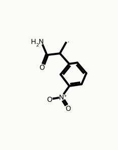 [CH2]C(C(N)=O)c1cccc([N+](=O)[O-])c1